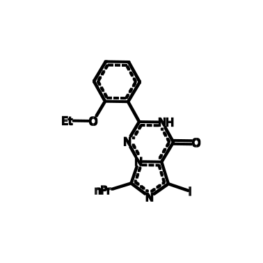 CCCc1nc(I)c2c(=O)[nH]c(-c3ccccc3OCC)nn12